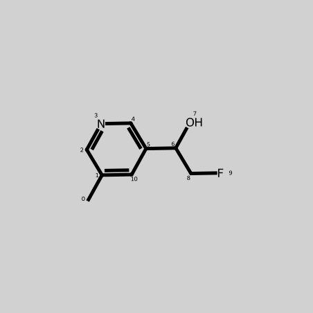 Cc1cncc(C(O)CF)c1